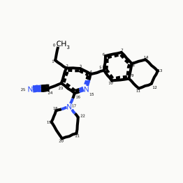 CCc1cc(-c2ccc3c(c2)CCCC3)nc(N2CCCCC2)c1C#N